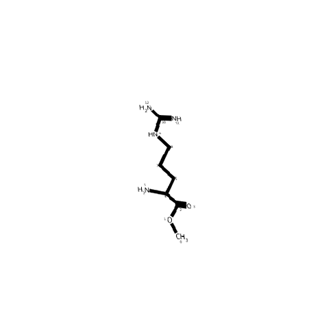 COC(=O)C(N)CCCNC(=N)N